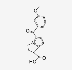 COc1cccc(C(=O)c2ccc3n2CCC3C(=O)O)c1